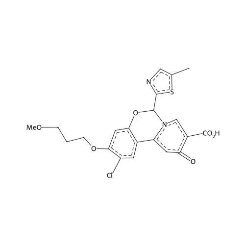 COCCCOc1cc2c(cc1Cl)-c1cc(=O)c(C(=O)O)cn1C(c1ncc(C)s1)O2